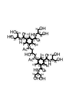 CC(=O)N(CC(O)CN(C(C)=O)c1c(I)c(C(=O)NC(CO)CO)c(I)c(C(=O)NC(CO)CO)c1I)c1c(I)c(C(=O)NC(CO)CO)c(I)c(C(=O)NC(CO)CO)c1I